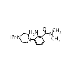 CC(C)N1CCN(c2cccc(C(=O)N(C)C)c2N)CC1